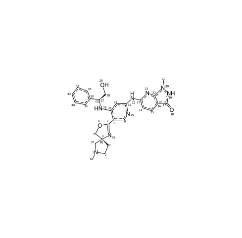 CN1CC[C@]2(COC(c3cnc(Nc4ccc5c(=O)[nH]n(C)c5n4)cc3N[C@H](CO)c3ccccc3)=N2)C1